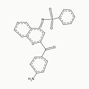 Nc1ccc(C(=O)c2c/c(=N\S(=O)(=O)c3ccccc3)c3ccccc3o2)cc1